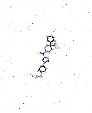 COc1ccc(-c2cc(C(=O)N3CCC(C(=O)O)(c4ccccc4)CC3)on2)cc1